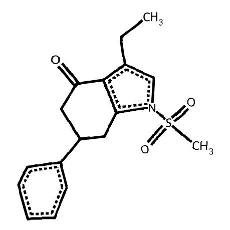 CCc1cn(S(C)(=O)=O)c2c1C(=O)CC(c1ccccc1)C2